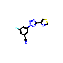 N#Cc1cc(F)cc(-n2nnc(-c3cscn3)n2)c1